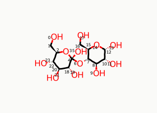 OC[C@H]1O[C@](O)(O[C@H]2[C@H](O)[C@@H](O)[C@@H](O)O[C@@H]2CO)[C@H](O)[C@@H](O)[C@@H]1O